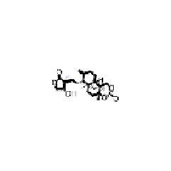 C=C1CC[C@H]2[C@@](C)(CC[C@@]3(C)OS(=O)OC[C@@]23C)[C@@H]1C/C=C1/C(=O)OC[C@H]1O